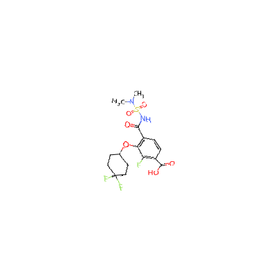 CN(C)S(=O)(=O)NC(=O)c1ccc(C(=O)O)c(F)c1OC1CCC(F)(F)CC1